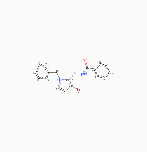 O=C(NCc1c(Br)ccn1Cc1ccccc1)c1ccccc1